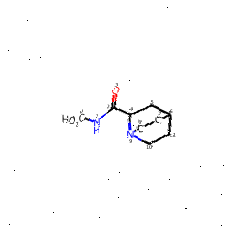 O=C(O)NC(=O)C1CC2CCN1CC2